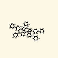 c1ccc(-c2cccc(N(c3ccccc3)c3ccc4c(c3)C3(c5cc(N(c6ccccc6)c6cccc(-c7ccccc7)c6)ccc5-4)c4ccccc4-n4c5ccccc5c5cccc3c54)c2)cc1